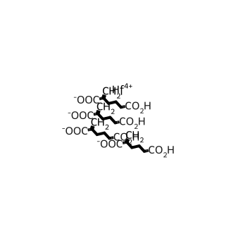 C=C(CCCC(=O)O)C(=O)[O-].C=C(CCCC(=O)O)C(=O)[O-].C=C(CCCC(=O)O)C(=O)[O-].C=C(CCCC(=O)O)C(=O)[O-].[Hf+4]